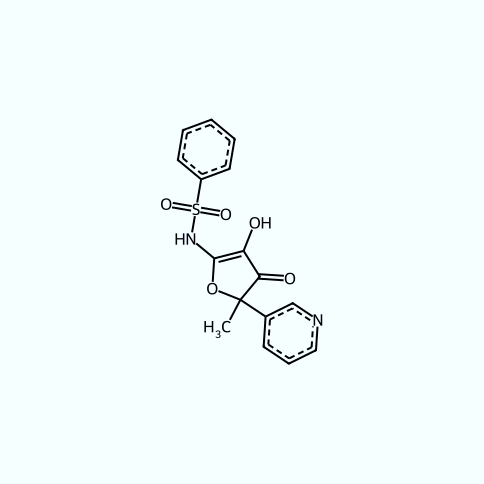 CC1(c2cccnc2)OC(NS(=O)(=O)c2ccccc2)=C(O)C1=O